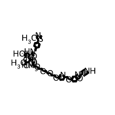 Cc1ncsc1-c1ccc(CNC(=O)[C@@H]2C[C@@H](O)CN2C(=O)[C@@H](NC(=O)COCCOCCOCCOc2ccc(COc3ccc4oc(N5CCNCC5)nc4c3)nc2)C(C)(C)C)cc1